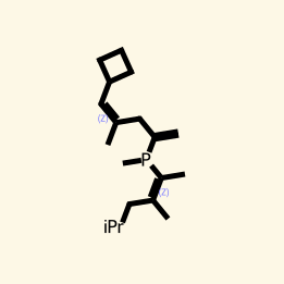 C=C(C/C(C)=C\C1CCC1)P(C)/C(C)=C(/C)CC(C)C